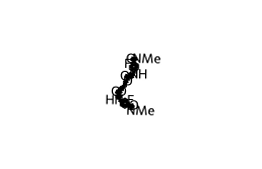 CNC(=O)c1ccc(NC(C)(C)C(=O)OCCCOC(=O)C(C)(C)Nc2ccc(C(=O)NC)c(F)c2)cc1F